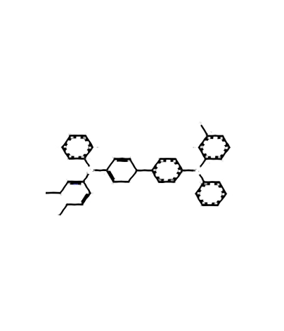 CC/C=C\C(=C/CC)N(C1=CCC(c2ccc(N(c3ccccc3)c3cccc(C)c3)cc2)C=C1)c1ccccc1